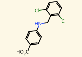 O=C(O)c1ccc(NCc2c(Cl)cccc2Cl)cc1